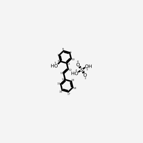 O=S(=O)(O)O.Oc1ccccc1C=Cc1ccccc1